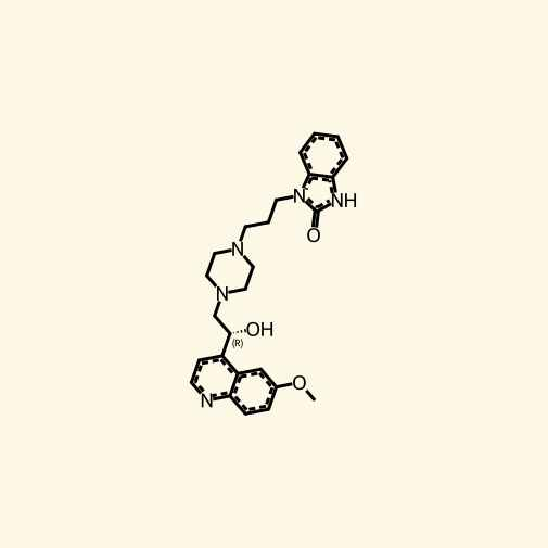 COc1ccc2nccc([C@@H](O)CN3CCN(CCCn4c(=O)[nH]c5ccccc54)CC3)c2c1